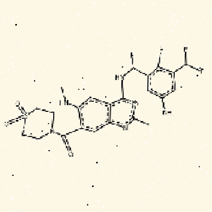 CNc1cc2c(NC(C)c3cc(N)cc(C(F)F)c3F)nc(C)nc2cc1C(=O)N1CCS(=O)(=O)CC1